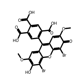 COc1cc2c(-c3cc(C(=O)O)c(C(=O)O)cc3C(=O)O)c3cc(OC)c(=O)c(Br)c-3oc2c(Br)c1O